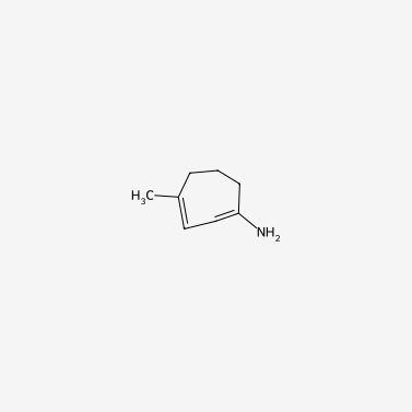 CC1=CC=C(N)CCC1